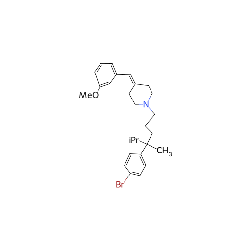 COc1cccc(C=C2CCN(CCCC(C)(c3ccc(Br)cc3)C(C)C)CC2)c1